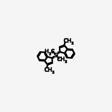 CC1=C[C]([Si](C)(C)[C]2C=C(C)c3ccccc32)c2ccccc21